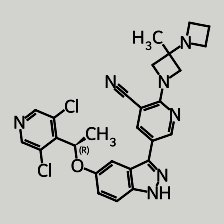 C[C@@H](Oc1ccc2[nH]nc(-c3cnc(N4CC(C)(N5CCC5)C4)c(C#N)c3)c2c1)c1c(Cl)cncc1Cl